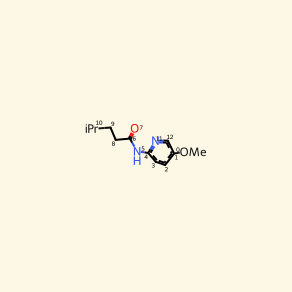 COc1ccc(NC(=O)CCC(C)C)nc1